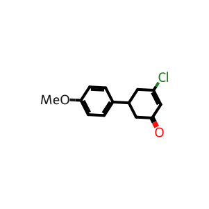 COc1ccc(C2CC(=O)C=C(Cl)C2)cc1